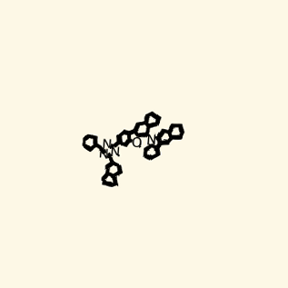 c1ccc(-c2nc(-c3ccc4ccccc4c3)nc(-c3ccc4c(c3)oc3c(-n5c6ccccc6c6cc7ccccc7cc65)c5ccccc5cc34)n2)cc1